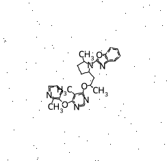 Cc1ncccc1Oc1ncnc(O[C@H](C)CC2CCC(C)N2c2nc3ccccc3o2)c1C